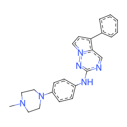 CN1CCN(c2ccc(Nc3ncc4c(-c5ccccc5)ccn4n3)cc2)CC1